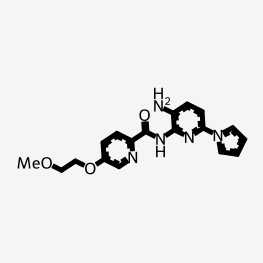 COCCOc1ccc(C(=O)Nc2nc(-n3cccc3)ccc2N)nc1